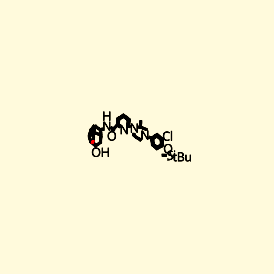 CC1CN(c2ccc(O[Si](C)(C)C(C)(C)C)c(Cl)c2)CCN1c1cccc(C(=O)NC2C3CC4CC2CC(O)(C4)C3)n1